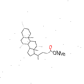 COC(=O)CCC(C)C1CCC2C3C(C[C@H](C)C12C)C1(C)CC[C@@H](C)CC1C[C@H]3C